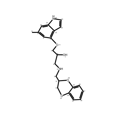 Cc1cc(OCC(O)CNCC2COc3ccccc3O2)c2cc[nH]c2c1